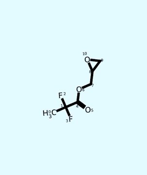 CC(F)(F)C(=O)OCC1CO1